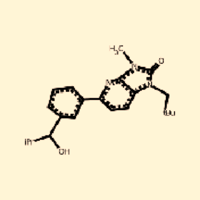 CC(C)C(O)c1cccc(-c2ccc3c(n2)n(C)c(=O)n3CC(C)(C)C)c1